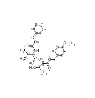 COc1ccc(COC(=O)[C@@H](OC(=O)C(NC(=O)OCc2ccccc2)C(C)C)C(C)C)cc1